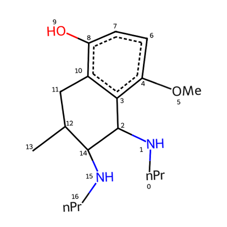 CCCNC1c2c(OC)ccc(O)c2CC(C)C1NCCC